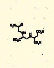 NC(=O)CN[C@@H](CN[C@@H](CC(=O)O)C(=O)O)C(=O)O